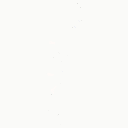 Cc1cc(CNC(=O)C23CC(NC(=O)COc4ccc(Cl)c(F)c4)(C2)C3)n(C)n1